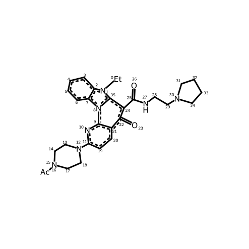 CCn1c2ccccc2n2c3nc(N4CCN(C(C)=O)CC4)ccc3c(=O)c(C(=O)NCCN3CCCC3)c12